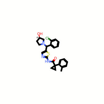 Cc1ccccc1C1(C(=O)Nc2ncc(C(c3ccccc3Cl)N3CC[C@@H](O)C3)s2)CC1